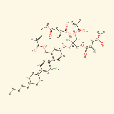 C=C(C)C(=O)OCc1cc(OCC(COC(=O)C(=C)C)(COC(=O)C(=C)CC(=O)OC)COC(=O)C(=C)CC(=O)OC)ccc1-c1ccc(C2CCC(CCCCC)CC2)cc1F